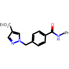 CCOC(=O)c1cnn(Cc2ccc(C(=O)NC(C)C)cc2)c1